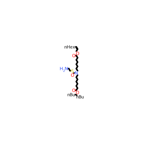 CCCCCC/C=C\COC(=O)CCCCCCCN(CCCCCCCC(=O)OC(CCCC)CCCC)C(=O)SCCN